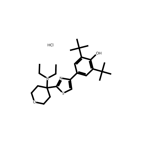 CCN(CC)C1(c2nc(-c3cc(C(C)(C)C)c(O)c(C(C)(C)C)c3)cs2)CCOCC1.Cl